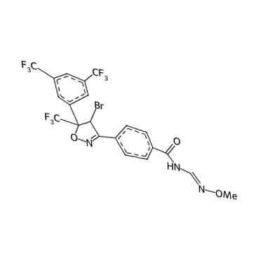 CON=CNC(=O)c1ccc(C2=NOC(c3cc(C(F)(F)F)cc(C(F)(F)F)c3)(C(F)(F)F)C2Br)cc1